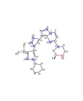 C[C@H]1CN(c2ccn3ncc(-c4cn(-c5cn(C6CCCCC6)nc5C(F)F)nn4)c3n2)CCO1